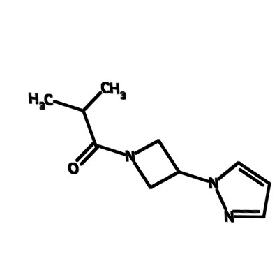 CC(C)C(=O)N1CC(n2cccn2)C1